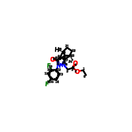 CCOC(=O)Cn1c2c(c(=O)n1-c1ccc(F)cc1F)[C@H]1CC[C@]2(C)C1(C)C